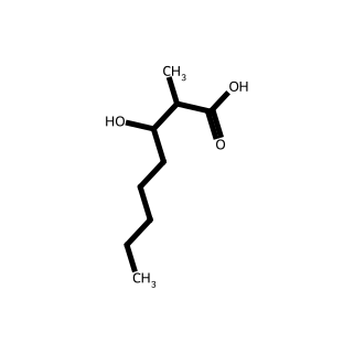 CCCCCC(O)C(C)C(=O)O